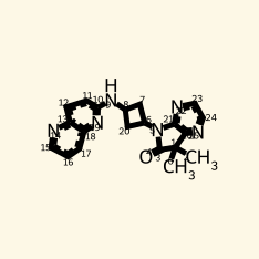 CC1(C)C(=O)N(C2CC(Nc3ccc4ncccc4n3)C2)c2nccnc21